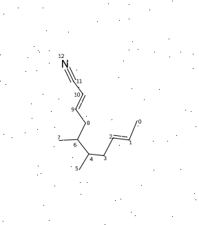 C/C=C/CC(C)C(C)C/C=C/C#N